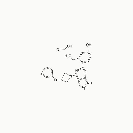 CCc1cc(O)ccc1-c1cc2[nH]ncc2c(N2CC(Oc3ccccc3)C2)n1.O=CO